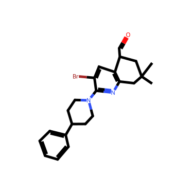 CC1(C)Cc2nc(N3CCC(c4ccccc4)CC3)c(Br)cc2C(C=O)C1